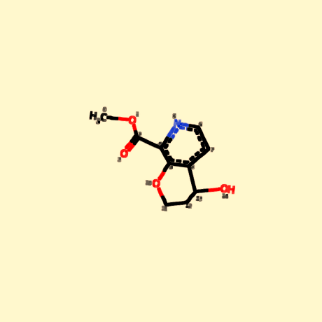 COC(=O)c1nccc2c1OCCC2O